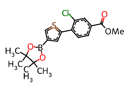 COC(=O)c1ccc(-c2cc(B3OC(C)(C)C(C)(C)O3)cs2)c(Cl)c1